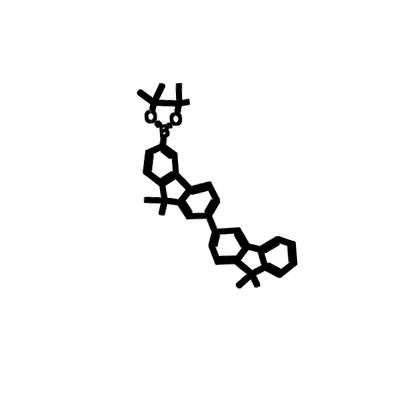 CC1(C)c2ccccc2-c2cc(-c3ccc4c(c3)C(C)(C)c3ccc(B5OC(C)(C)C(C)(C)O5)cc3-4)ccc21